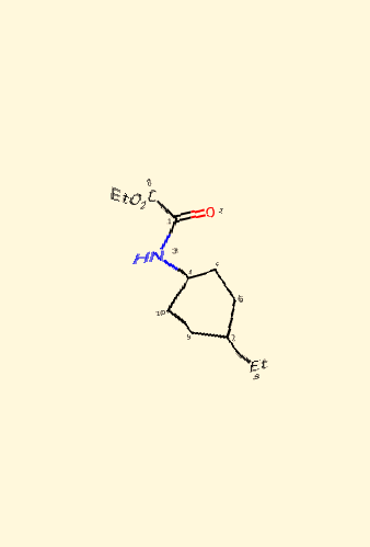 CCOC(=O)C(=O)NC1CCC(CC)CC1